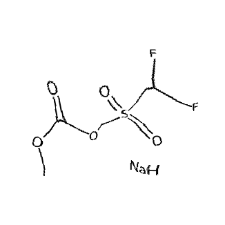 COC(=O)OS(=O)(=O)C(F)F.[NaH]